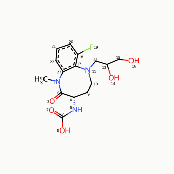 CN1C(=O)[C@@H](NC(=O)O)CCN(CC(O)CO)c2c(F)cccc21